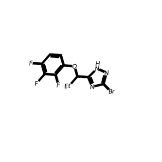 CCC(Oc1ccc(F)c(F)c1F)c1nc(Br)n[nH]1